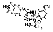 CC1(C)Oc2ccc(C#N)cc2[C@@H](NC(=O)Nc2ccc3c(c2)CNC3)[C@@H]1O